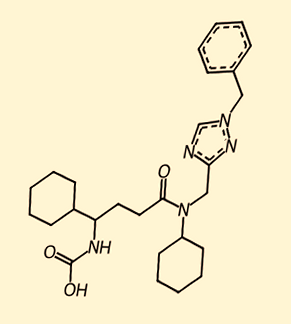 O=C(O)NC(CCC(=O)N(Cc1ncn(Cc2ccccc2)n1)C1CCCCC1)C1CCCCC1